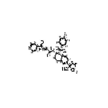 O=C(C[C@@H]1CCc2cc(C(O)(CF)C(F)(F)F)ccc2N1S(=O)(=O)c1ccc(F)cc1)NNC(=O)c1ccncc1